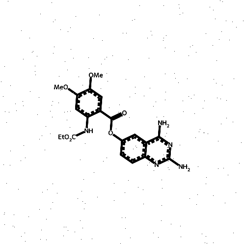 CCOC(=O)Nc1cc(OC)c(OC)cc1C(=O)Oc1ccc2nc(N)nc(N)c2c1